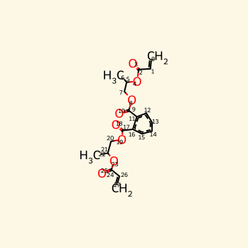 C=CC(=O)OC(C)COC(=O)c1ccccc1C(=O)OCC(C)OC(=O)C=C